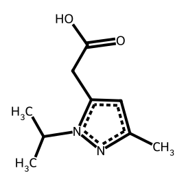 Cc1cc(CC(=O)O)n(C(C)C)n1